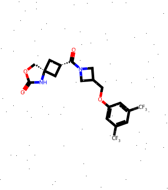 O=C1N[C@]2(CO1)C[C@@H](C(=O)N1CC(COc3cc(C(F)(F)F)cc(C(F)(F)F)c3)C1)C2